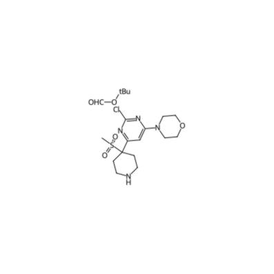 CC(C)(C)OC=O.CS(=O)(=O)C1(c2cc(N3CCOCC3)nc(Cl)n2)CCNCC1